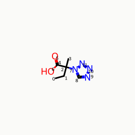 CCC(C)(C(=O)O)n1cnnn1